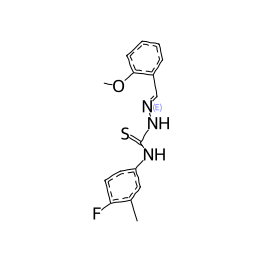 COc1ccccc1/C=N/NC(=S)Nc1ccc(F)c(C)c1